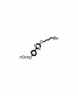 CCCCCCCCOc1ccc(-c2ncc(OCCCCC(C)CC)cn2)cc1